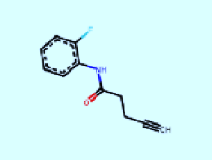 C#CCCC(=O)Nc1ccccc1F